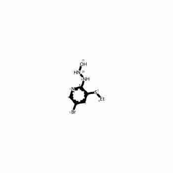 CCSc1cc(Br)cnc1NNO